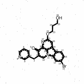 O=c1c(Cc2cccnc2)cn2c3cc(Br)ccc3c3cc(OCCCO)nc1c32